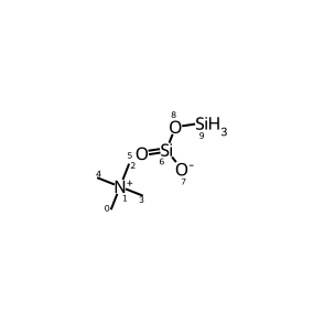 C[N+](C)(C)C.O=[Si]([O-])O[SiH3]